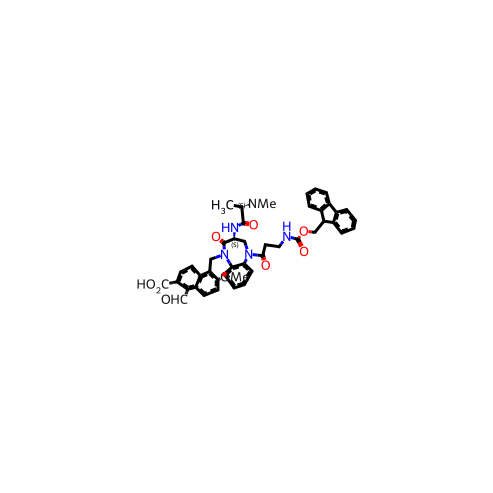 CN[C@@H](C)C(=O)N[C@H]1CN(C(=O)CCNC(=O)OCC2c3ccccc3-c3ccccc32)c2ccccc2N(Cc2c(OC)ccc3c(C=O)c(C(=O)O)ccc23)C1=O